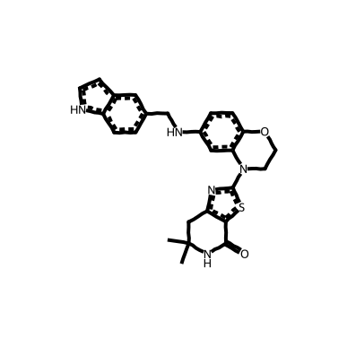 CC1(C)Cc2nc(N3CCOc4ccc(NCc5ccc6[nH]ccc6c5)cc43)sc2C(=O)N1